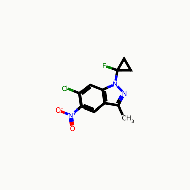 Cc1nn(C2(F)CC2)c2cc(Cl)c([N+](=O)[O-])cc12